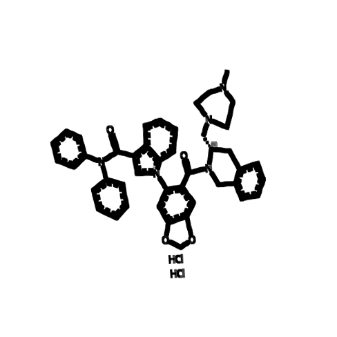 CN1CCN(C[C@@H]2Cc3ccccc3CN2C(=O)c2cc3c(cc2-n2cc(C(=O)N(c4ccccc4)c4ccccc4)c4ccccc42)OCO3)CC1.Cl.Cl